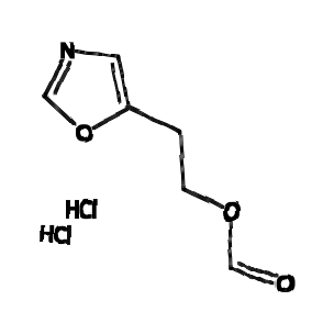 Cl.Cl.O=COCCc1cnco1